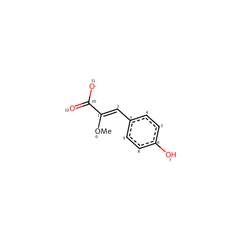 CO/C(=C\c1ccc(O)cc1)C([O])=O